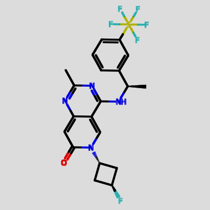 Cc1nc(N[C@H](C)c2cccc(S(F)(F)(F)(F)F)c2)c2cn([C@H]3C[C@H](F)C3)c(=O)cc2n1